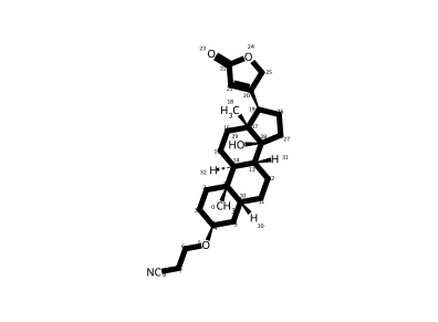 C[C@]12CC[C@H](OCCC#N)C[C@H]1CC[C@@H]1[C@@H]2CC[C@]2(C)[C@@H](C3=CC(=O)OC3)CC[C@]12O